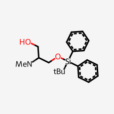 CNC(CO)CO[Si](c1ccccc1)(c1ccccc1)C(C)(C)C